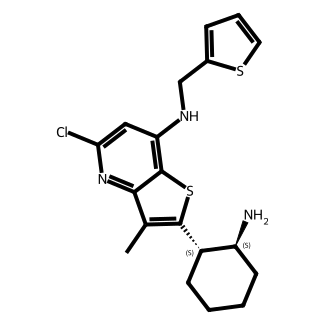 Cc1c([C@H]2CCCC[C@@H]2N)sc2c(NCc3cccs3)cc(Cl)nc12